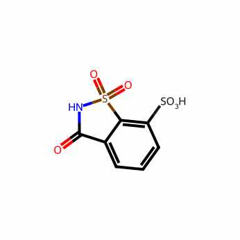 O=C1NS(=O)(=O)c2c1cccc2S(=O)(=O)O